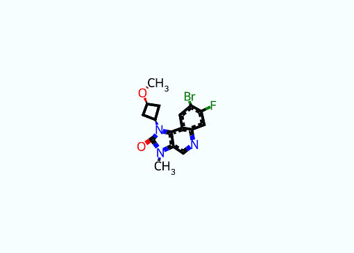 CO[C@H]1C[C@@H](n2c(=O)n(C)c3cnc4cc(F)c(Br)cc4c32)C1